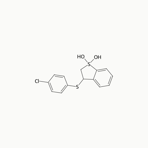 OS1(O)CC(Sc2ccc(Cl)cc2)c2ccccc21